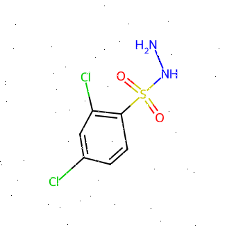 NNS(=O)(=O)c1ccc(Cl)cc1Cl